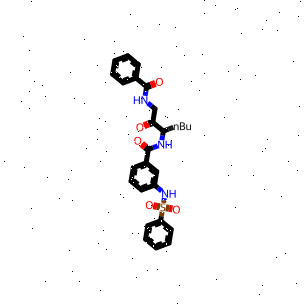 CCCCC(NC(=O)c1cccc(NS(=O)(=O)c2ccccc2)c1)C(=O)CNC(=O)c1ccccc1